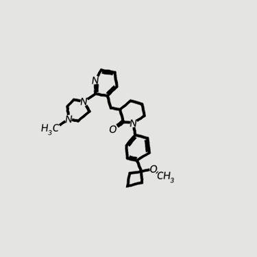 COC1(c2ccc(N3CCCC(Cc4cccnc4N4CCN(C)CC4)C3=O)cc2)CCC1